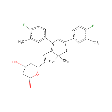 Cc1cc(C2=CC(c3ccc(F)c(C)c3)=C(C=CC3CC(O)CC(=O)O3)C(C)(C)C2)ccc1F